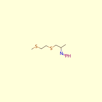 CSCCSCC(C)N=P